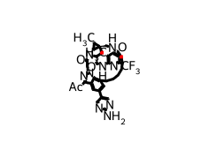 CC(=O)c1nn2c3c(cc(-c4cnc(N)nc4)cc13)CCCCCCC(=O)NC[C@@]13C[C@@H](C(=O)Nc4nc(C(F)(F)F)ccc4C)N(C(=O)C2)C1C3C